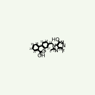 Cc1nc2c(F)nnc(O)c2n1Cc1ccc(-c2ccccc2C(=O)O)cc1